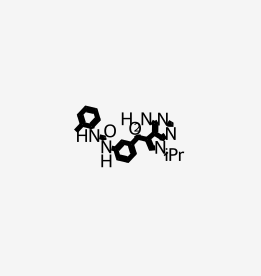 Cc1ccccc1NC(=O)Nc1cccc(C(=O)c2cn(C(C)C)c3ncnc(N)c23)c1